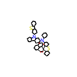 c1ccc(N(c2ccc3c(c2)C2(c4ccccc4S3)c3ccccc3-c3cccc4cccc2c34)c2ccc3c4ccccc4n(-c4ccc5c(c4)sc4ccccc45)c3c2)cc1